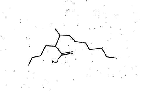 CCCCCCCC(C)C(CCCC)C(=O)O